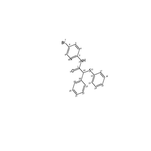 O=C(Nc1ccc(Br)cn1)C(Sc1ccccc1)c1ccccc1